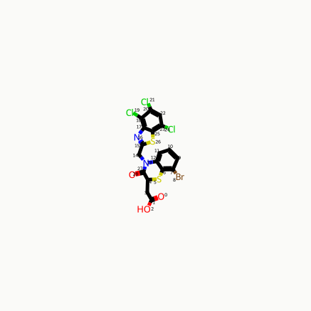 O=C(O)CC1Sc2c(Br)cccc2N(Cc2nc3c(Cl)c(Cl)cc(Cl)c3s2)C1=O